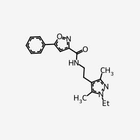 CCn1nc(C)c(CCNC(=O)c2cc(-c3ccccc3)on2)c1C